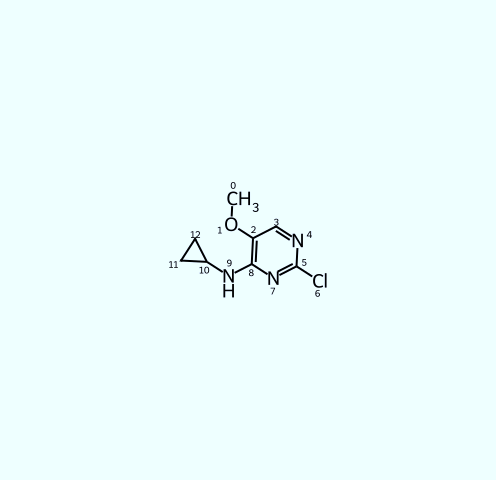 COc1cnc(Cl)nc1NC1CC1